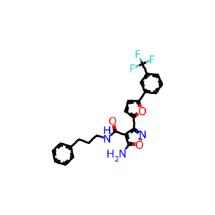 Nc1onc(-c2ccc(-c3cccc(C(F)(F)F)c3)o2)c1C(=O)NCCCc1ccccc1